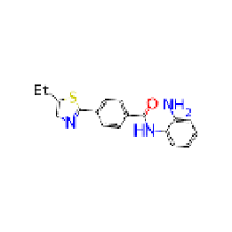 CCc1cnc(-c2ccc(C(=O)Nc3ccccc3N)cc2)s1